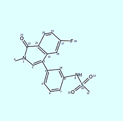 Cn1cc(-c2cccc(NS(C)(=O)=O)c2)c2cc(F)ccc2c1=O